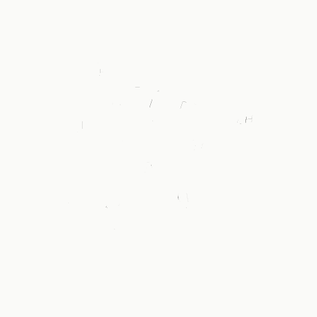 CCOC(C)OC(CC1CC2C=CC1C2)(C(F)(F)F)C(F)(F)F